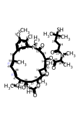 COc1cc2cc(c1Cl)N(C)C(=O)CC(OC(=O)C(C)N(C)C(=O)CCC(C)(C)S)C1(C)CC(C)(O1)C1CC(O)(NC(=O)O1)C(OC)/C=C/C=C(\C)C2